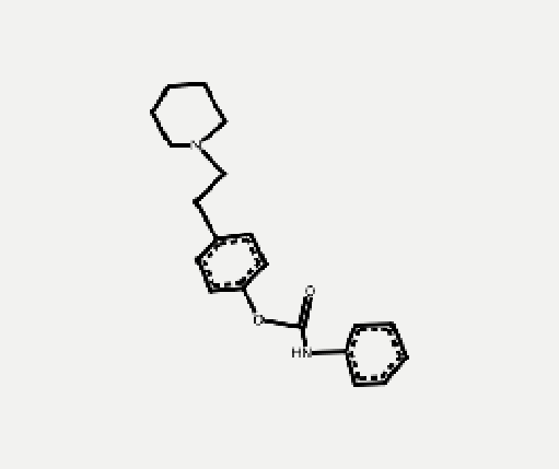 O=C(Nc1ccccc1)Oc1ccc(CCN2CCCCC2)cc1